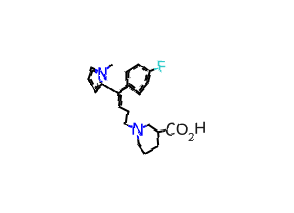 Cn1cccc1C(=CCCN1CCCC(C(=O)O)C1)c1ccc(F)cc1